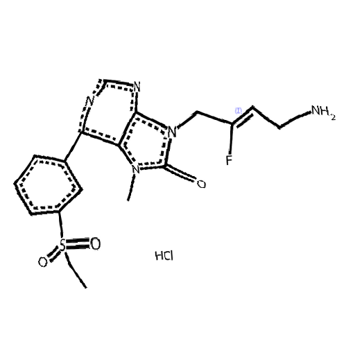 Cl.Cn1c(=O)n(C/C(F)=C/CN)c2ncnc(-c3cccc(S(C)(=O)=O)c3)c21